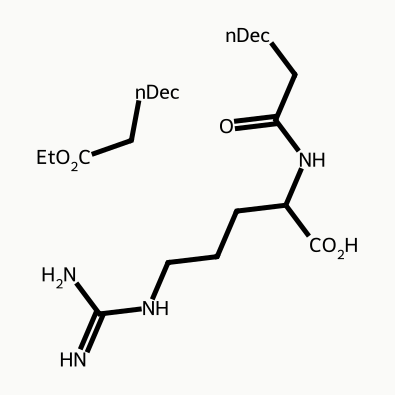 CCCCCCCCCCCC(=O)NC(CCCNC(=N)N)C(=O)O.CCCCCCCCCCCC(=O)OCC